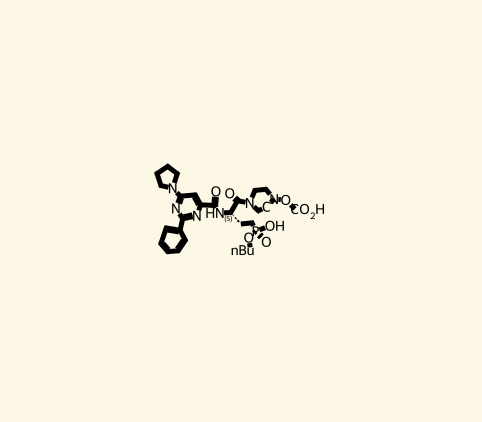 CCCCOP(=O)(O)CC[C@H](NC(=O)c1cc(N2CCCC2)nc(-c2ccccc2)n1)C(=O)N1CCN(OC(=O)O)CC1